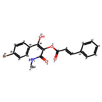 CC(C)(C)NC(=O)/C(OC(=O)C=Cc1ccccc1)=C(/O)c1ccc(Br)cc1